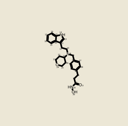 O=C(CCc1ccc(CN(CCc2c[nH]c3ccccc23)C2CCOCC2)cc1)NO